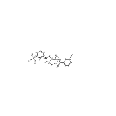 CC1(NC(=O)c2cccc(F)c2)CCC2CN(c3cccc(C(F)(F)F)n3)CC21